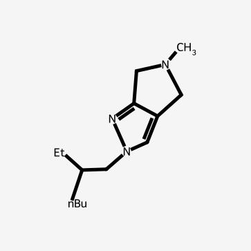 CCCCC(CC)Cn1cc2c(n1)CN(C)C2